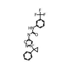 O=C([N-]c1c[n+](C2(c3ccccc3)CC2)no1)Nc1cccc(C(F)(F)F)c1